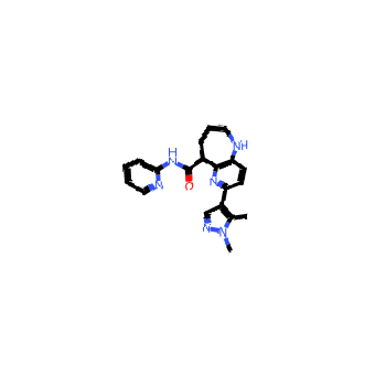 Cc1c(-c2ccc3c(n2)C(C(=O)Nc2ccccn2)CCCN3)cnn1C